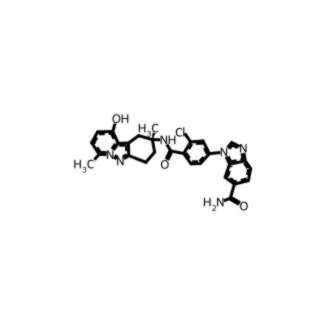 Cc1ccc(O)c2c3c(nn12)CC[C@@](C)(NC(=O)c1ccc(-n2cnc4ccc(C(N)=O)cc42)cc1Cl)C3